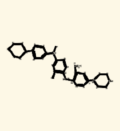 Cc1cc(N(C)c2ccc(C3CCCCC3)cc2)ccc1Nc1ccc(N2CCOCC2)cc1C(=O)O